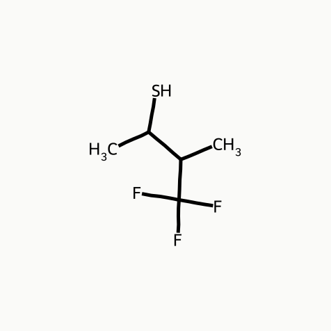 CC(S)C(C)C(F)(F)F